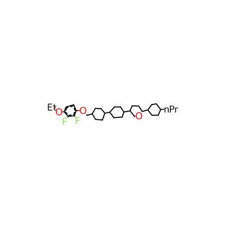 CCCC1CCC(C2CCC(C3CCC(C4CCC(COc5ccc(OCC)c(F)c5F)CC4)CC3)CO2)CC1